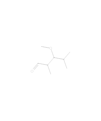 COC(C(C)C)C(C)C=O